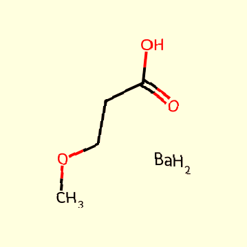 COCCC(=O)O.[BaH2]